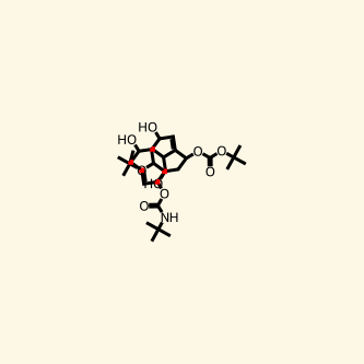 CC(C)(C)NC(=O)OC1/C=C/CC(O)CC(/C2=C\C(O)CC(OC(C)(C)C)C(O)CC2OC(=O)OC(C)(C)C)C1